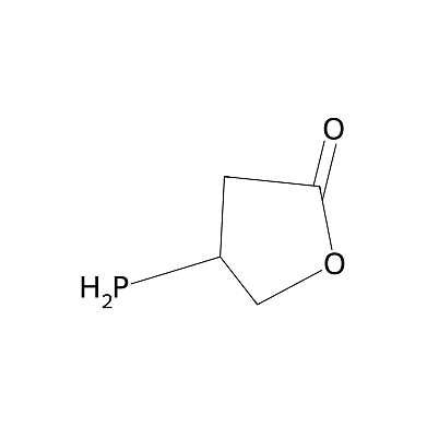 O=C1CC(P)CO1